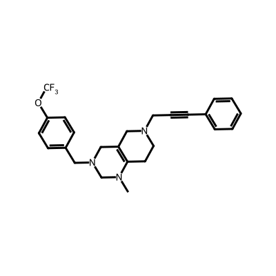 CN1CN(Cc2ccc(OC(F)(F)F)cc2)CC2=C1CCN(CC#Cc1ccccc1)C2